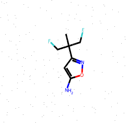 CC(CF)(CF)c1cc(N)on1